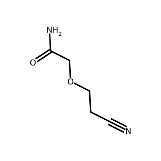 N#CCCOCC(N)=O